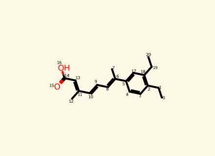 CCc1ccc(C(C)=CC=CC(C)=CC(=O)O)cc1CC